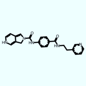 O=C(NCCc1cccnc1)c1ccc(NC(=O)N2C=C3C=CNC=C3C2)cc1